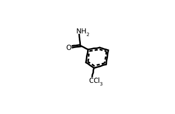 NC(=O)c1cccc(C(Cl)(Cl)Cl)c1